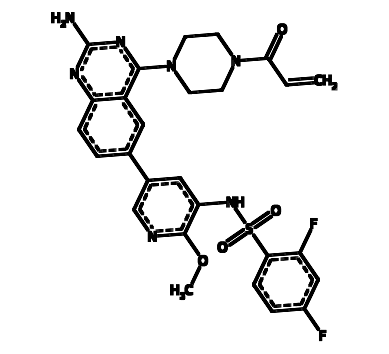 C=CC(=O)N1CCN(c2nc(N)nc3ccc(-c4cnc(OC)c(NS(=O)(=O)c5ccc(F)cc5F)c4)cc23)CC1